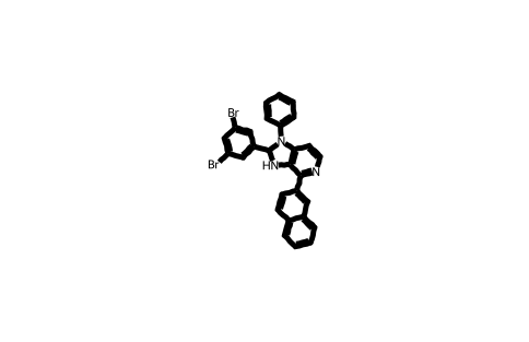 Brc1cc(Br)cc(C2Nc3c(ccnc3-c3ccc4ccccc4c3)N2c2ccccc2)c1